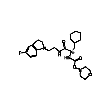 O=C(N[C@@H](CC1CCCCC1)C(=O)NCCN1CCc2cc(F)ccc21)ON1CCOCC1